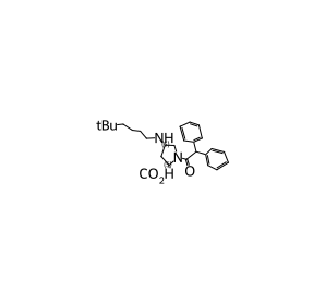 CC(C)(C)CCCCN[C@H]1C[C@@H](C(=O)O)N(C(=O)C(c2ccccc2)c2ccccc2)C1